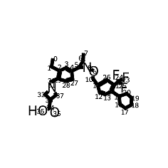 CCc1cc(C2C(C)N2OCc2ccc(C3CCCCC3)c(C(F)(F)F)c2)ccc1CN1CC(C(=O)O)C1